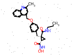 CCCNC(=O)[C@@]1(Cc2ccc(OCc3cc(C)nc4ccccc34)cc2)C[C@@H]1C(=O)NO